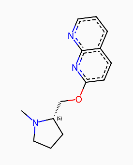 CN1CCC[C@H]1COc1ccc2cccnc2n1